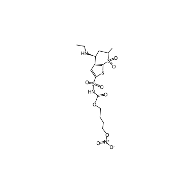 CCN[C@H]1CC(C)S(=O)(=O)c2sc(S(=O)(=O)NC(=O)OCCCCO[N+](=O)[O-])cc21